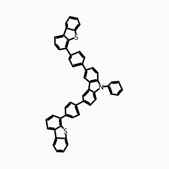 c1ccc(-n2c3ccc(-c4ccc(-c5cccc6c5sc5ccccc56)cc4)cc3c3cc(-c4ccc(-c5cccc6c5sc5ccccc56)cc4)ccc32)cc1